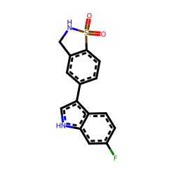 O=S1(=O)NCc2cc(-c3c[nH]c4cc(F)ccc34)ccc21